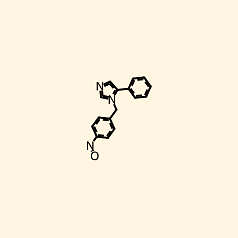 O=Nc1ccc(Cn2cncc2-c2ccccc2)cc1